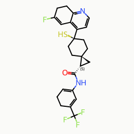 O=C(NC1=CCCC(C(F)(F)F)=C1)[C@H]1C[C@]12CC[C@](S)(c1ccnc3c1C=C(F)CC3)CC2